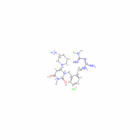 CN(C)C(=N)N=C(N)N.Cl.Cn1c(=O)cc(N2CCC[C@@H](N)C2)n(Cc2ccccc2C#N)c1=O